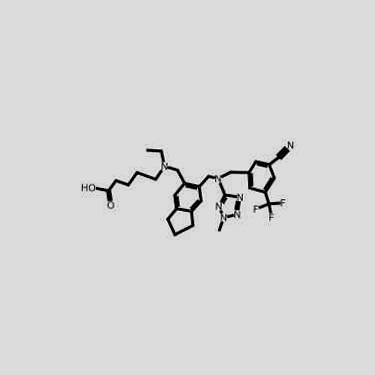 CCN(CCCCC(=O)O)Cc1cc2c(cc1CN(Cc1cc(C#N)cc(C(F)(F)F)c1)c1nnn(C)n1)CCC2